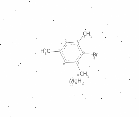 Cc1cc(C)c(Br)c(C)c1.[MgH2]